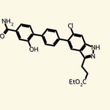 CCOC(=O)CCc1n[nH]c2cc(Cl)c(-c3ccc(-c4ccc(C(N)=O)cc4O)cc3)cc12